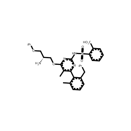 Cc1cccc(CC(C)C)c1-c1nc(NS(=O)(=O)c2ccccc2C(=O)O)nc(OC[C@H](N)COC(C)C)c1C